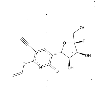 C#Cc1cn([C@@H]2O[C@](F)(CO)[C@@H](O)[C@H]2O)c(=O)nc1OC=C